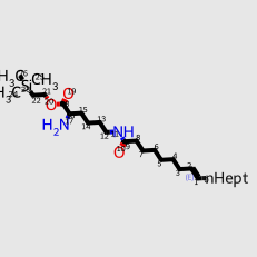 CCCCCCC/C=C/CCCCCCC(=O)NCCCCC(N)C(=O)OCC[Si](C)(C)C